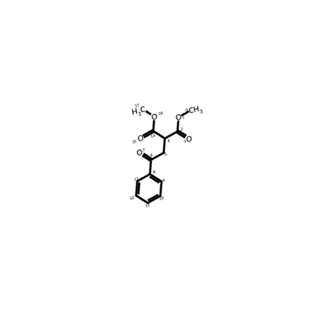 COC(=O)C(CC(=O)c1ccccc1)C(=O)OC